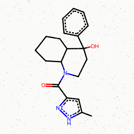 Cc1cc(C(=O)N2CCC(O)(c3ccccc3)C3CCCCC32)n[nH]1